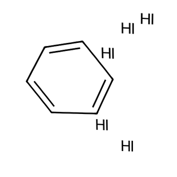 I.I.I.I.I.c1ccccc1